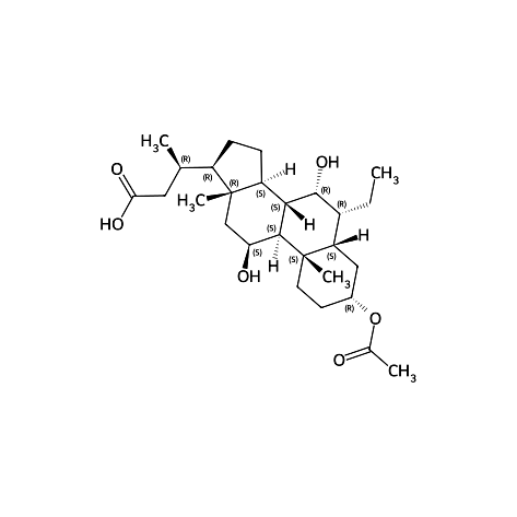 CC[C@H]1[C@@H](O)[C@@H]2[C@H]([C@@H](O)C[C@]3(C)[C@@H]([C@H](C)CC(=O)O)CC[C@@H]23)[C@@]2(C)CC[C@@H](OC(C)=O)C[C@@H]12